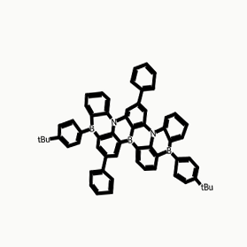 CC(C)(C)c1ccc(B2c3ccccc3N3c4cc(-c5ccccc5)cc5c4B(c4cccc2c43)c2cc(-c3ccccc3)cc3c2N5c2ccccc2B3c2ccc(C(C)(C)C)cc2)cc1